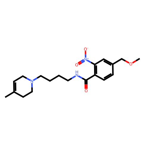 COCc1ccc(C(=O)NCCCCN2CC=C(C)CC2)c([N+](=O)[O-])c1